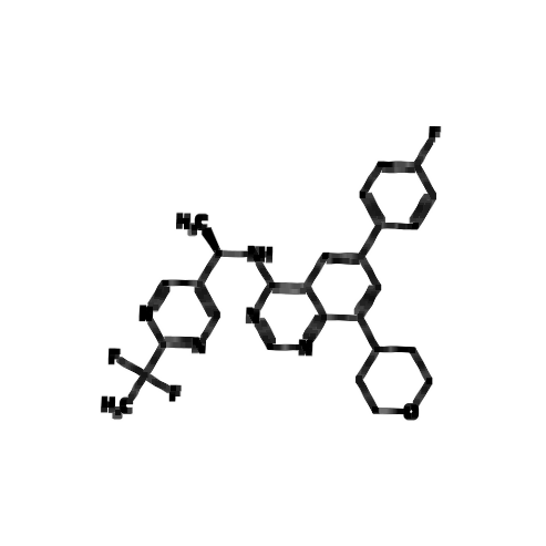 C[C@@H](Nc1ncnc2c(C3CCOCC3)cc(-c3ccc(F)cc3)cc12)c1cnc(C(C)(F)F)nc1